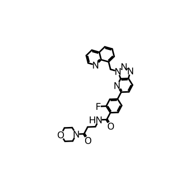 O=C(NCCC(=O)N1CCOCC1)c1ccc(-c2ccc3nnn(Cc4cccc5cccnc45)c3n2)cc1F